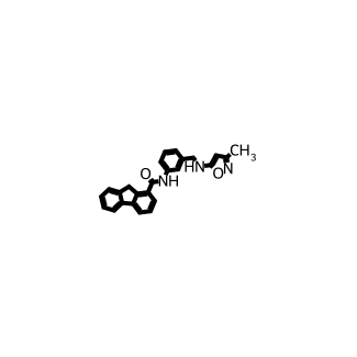 Cc1cc(NCc2cccc(NC(=O)c3cccc4c3Cc3ccccc3-4)c2)on1